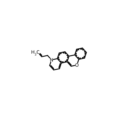 C=CCN1C=CC=c2c1ccc1c2=COc2ccccc2-1